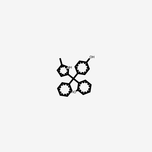 Cc1ccc(C(c2ccccc2)(c2ccc(O)cc2)c2ccccc2O)[nH]1